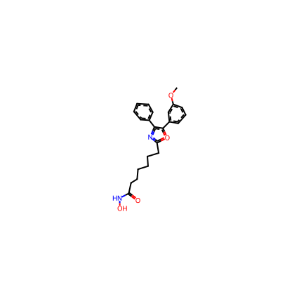 COc1cccc(-c2oc(CCCCCCC(=O)NO)nc2-c2ccccc2)c1